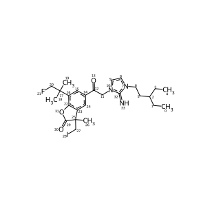 CCC(CC)CCn1ccn(CC(=O)c2cc(C(C)(C)CF)c3c(c2)C(C)(CI)C(=O)O3)c1=N